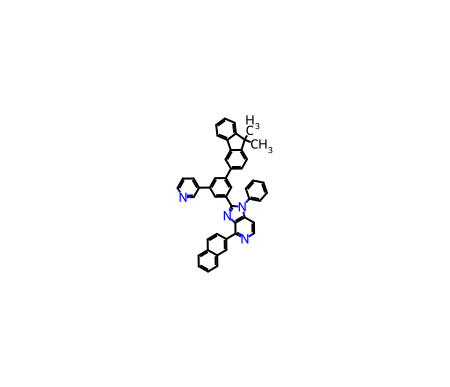 CC1(C)c2ccccc2-c2cc(-c3cc(-c4cccnc4)cc(-c4nc5c(-c6ccc7ccccc7c6)nccc5n4-c4ccccc4)c3)ccc21